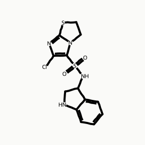 O=S(=O)(NC1CNc2ccccc21)c1c(Cl)nc2n1CCS2